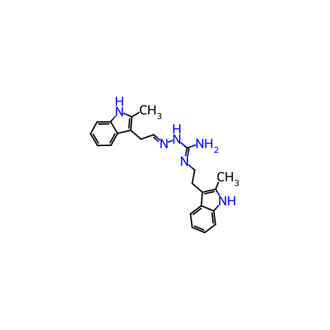 Cc1[nH]c2ccccc2c1CC=NNC(N)=NCCc1c(C)[nH]c2ccccc12